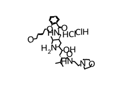 COCC=CCOc1ccccc1C(=O)NC[C@@H](C[C@H](N)[C@@H](O)C[C@H](C(=O)NCCN1CCOCC1)C(C)C)C(C)C.Cl.Cl